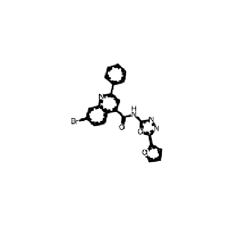 O=C(Nc1nnc(-c2ccco2)o1)c1cc(-c2ccccc2)nc2cc(Br)ccc12